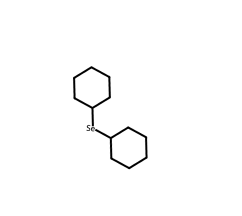 C1CCC([Se]C2CCCCC2)CC1